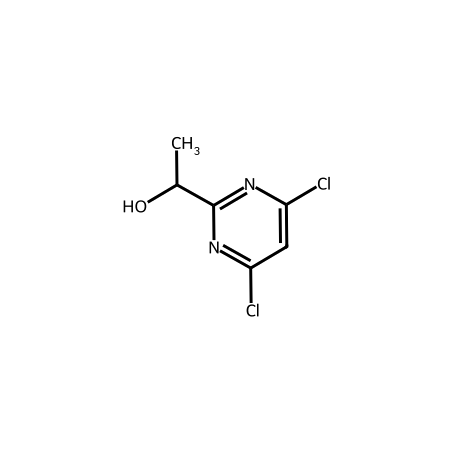 CC(O)c1nc(Cl)cc(Cl)n1